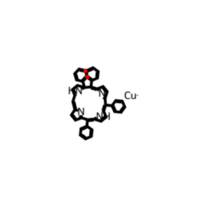 C1=CC2=NC1=CC1=CCC(c3ccccc3)(N1)C(c1ccccc1)=C1C=CC(=N1)C(c1ccccc1)=c1ccc([nH]1)=C2c1ccccc1.[Cu]